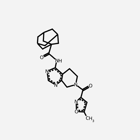 Cc1cc(C(=O)N2CCc3c(ncnc3NC(=O)C34CC5CC(CC(C5)C3)C4)C2)no1